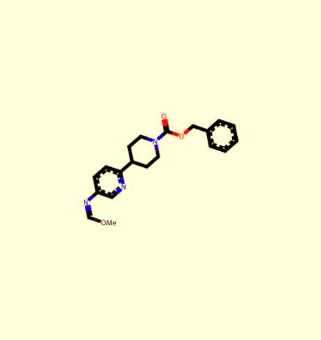 CO/C=N\c1ccc(C2CCN(C(=O)OCc3ccccc3)CC2)nc1